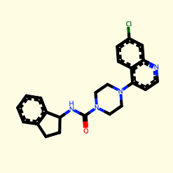 O=C(NC1CCc2ccccc21)N1CCN(c2ccnc3cc(Cl)ccc23)CC1